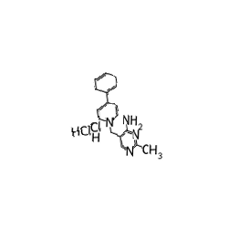 Cc1ncc(CN2C=CC(C3=CCC=CC3)=CC2)c(N)n1.Cl.Cl